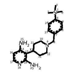 C[Si](C)(C)c1ccc(CN2CCC(c3c(N)ccnc3N)CC2)cc1